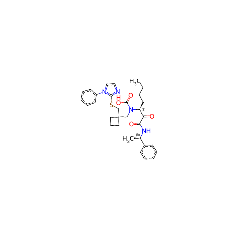 CCCC[C@@H](C(=O)C(=O)N[C@H](C)c1ccccc1)N(CC1(CSc2nccn2-c2ccccc2)CCC1)C(=O)O